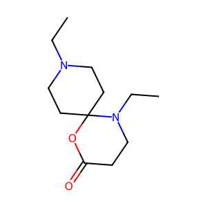 CCN1CCC2(CC1)OC(=O)CCN2CC